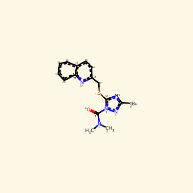 CN(C)C(=O)n1nc(C(C)(C)C)nc1SCc1ccc2ccccc2n1